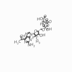 CN(C)c1nc(N)nc2c1ncn2[C@@H]1O[C@H](COP(=O)(O)OP(=O)(O)OP(=O)(O)O)C(O)[C@@]1(C)F